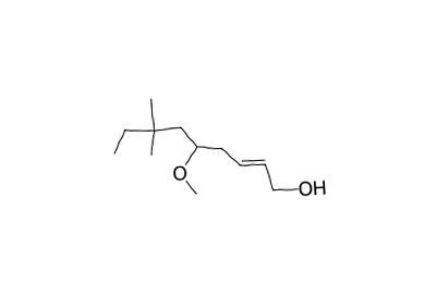 CCC(C)(C)CC(CC=CCO)OC